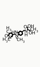 CCN1c2ccc(CNC(C(=O)O)C(C)O)cc2NC1c1cc(C)c(=O)n(C)c1